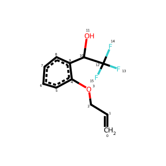 C=CCOc1ccccc1C(O)C(F)(F)F